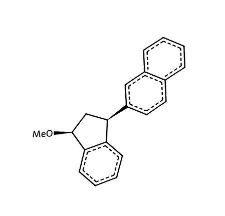 CO[C@H]1C[C@@H](c2ccc3ccccc3c2)c2ccccc21